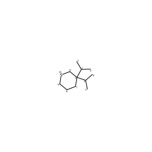 CC(C)C1(C(C)C)CCCSC1